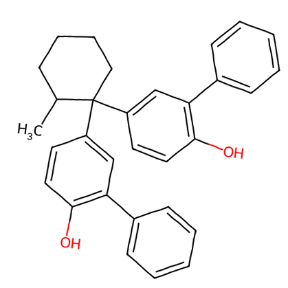 CC1CCCCC1(c1ccc(O)c(-c2ccccc2)c1)c1ccc(O)c(-c2ccccc2)c1